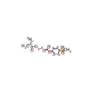 [2H]CC(C)C(=O)OCCOC(=O)Oc1ccc(S(C)(=O)=O)cc1